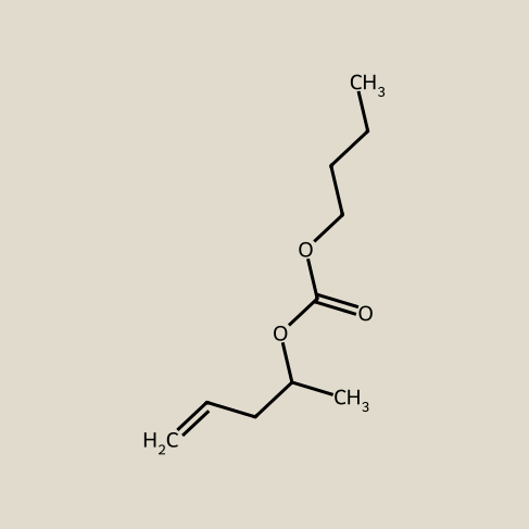 C=CCC(C)OC(=O)OCCCC